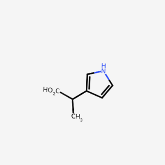 CC(C(=O)O)c1cc[nH]c1